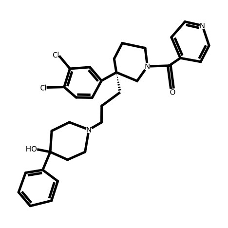 O=C(c1ccncc1)N1CCC[C@](CCCN2CCC(O)(c3ccccc3)CC2)(c2ccc(Cl)c(Cl)c2)C1